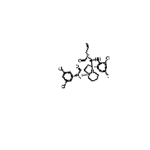 C=CCOC(=O)[C@H]1[C@@H](C(=O)N(C)c2cc(Cl)cc(Cl)c2)[C@H]2CCCCN2[C@]12C(=O)Nc1c(Cl)cc(Cl)cc12